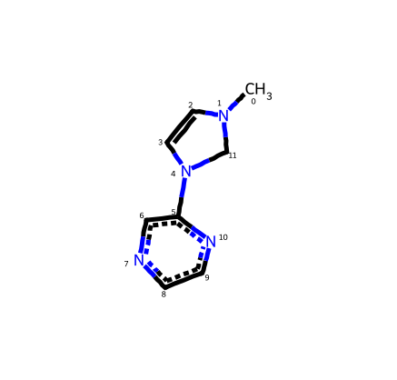 CN1C=CN(c2cnccn2)C1